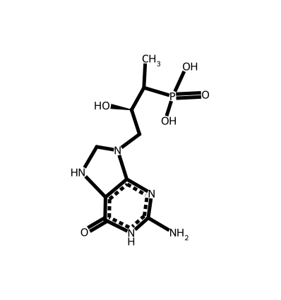 CC([C@H](O)CN1CNc2c1nc(N)[nH]c2=O)P(=O)(O)O